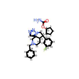 NC(=O)O[C@H]1CCC[C@@H]1C(Cn1ccnn1)(c1cccc(F)c1)C1CCN(Cc2ccccc2)CC1